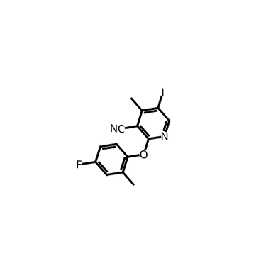 Cc1cc(F)ccc1Oc1ncc(I)c(C)c1C#N